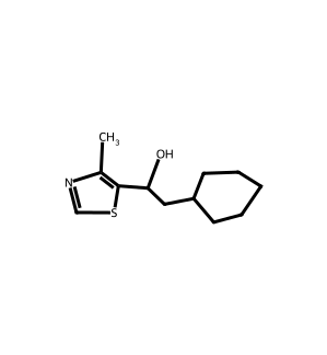 Cc1ncsc1C(O)CC1CCCCC1